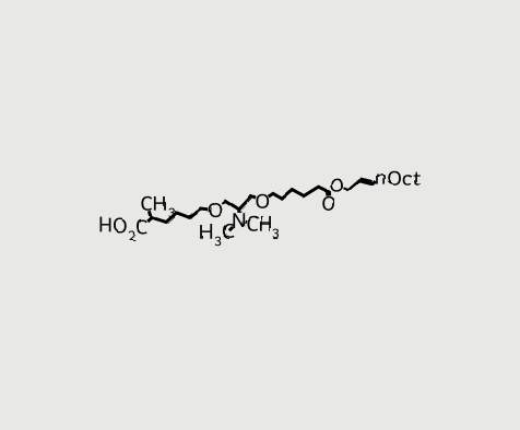 CCCCCCCCC=CCOC(=O)CCCCCOCC(COCCCCC(C)C(=O)O)N(C)C